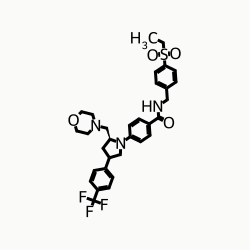 CCS(=O)(=O)c1ccc(CNC(=O)c2ccc(N3CC(c4ccc(C(F)(F)F)cc4)C[C@H]3CN3CCOCC3)cc2)cc1